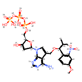 COc1ccc([C@@H](OCc2cn([C@H]3CC(O)[C@@H](COP(=O)(O)OP(=O)(O)OP(=O)(O)O)O3)c3ncnc(N)c23)C(C)C)c([N+](=O)[O-])c1